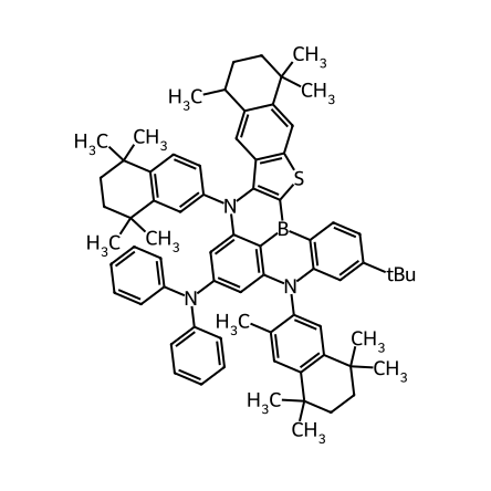 Cc1cc2c(cc1N1c3cc(C(C)(C)C)ccc3B3c4sc5cc6c(cc5c4N(c4ccc5c(c4)C(C)(C)CCC5(C)C)c4cc(N(c5ccccc5)c5ccccc5)cc1c43)C(C)CCC6(C)C)C(C)(C)CCC2(C)C